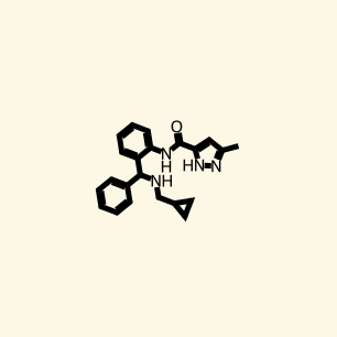 Cc1cc(C(=O)Nc2ccccc2C(NCC2CC2)c2ccccc2)[nH]n1